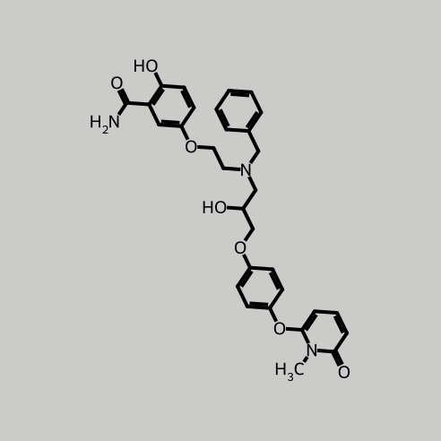 Cn1c(Oc2ccc(OCC(O)CN(CCOc3ccc(O)c(C(N)=O)c3)Cc3ccccc3)cc2)cccc1=O